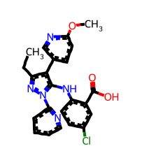 CCc1nn(-c2ccccn2)c(Nc2ccc(Cl)cc2C(=O)O)c1-c1ccc(OC)nc1